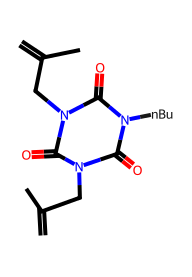 C=C(C)Cn1c(=O)n(CCCC)c(=O)n(CC(=C)C)c1=O